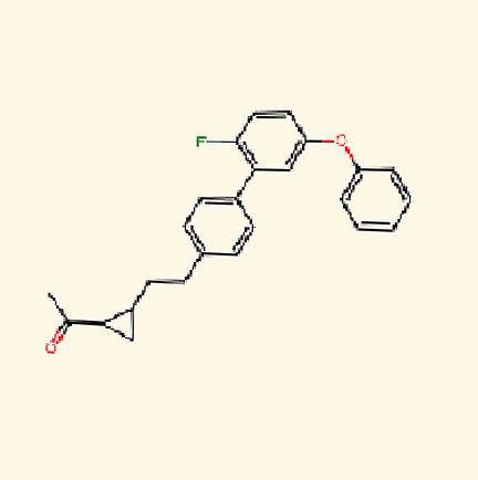 CC(=O)C1CC1CCc1ccc(-c2cc(Oc3ccccc3)ccc2F)cc1